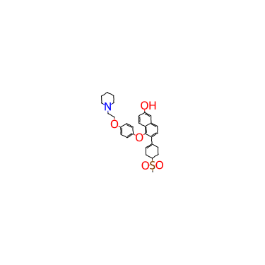 CS(=O)(=O)C1CC=C(c2ccc3cc(O)ccc3c2Oc2ccc(OCCN3CCCCC3)cc2)CC1